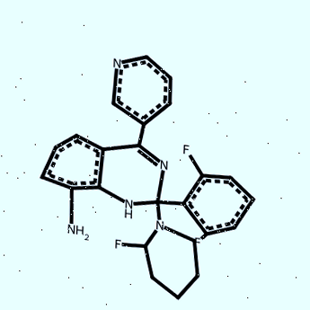 Nc1cccc2c1NC(c1c(F)cccc1F)(N1CCCCC1F)N=C2c1cccnc1